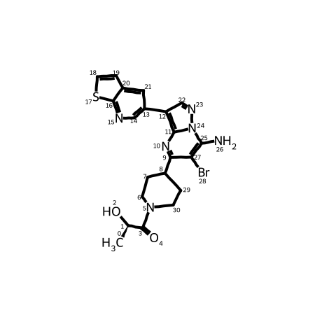 C[C@@H](O)C(=O)N1CCC(c2nc3c(-c4cnc5sccc5c4)cnn3c(N)c2Br)CC1